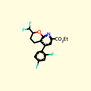 CCOC(=O)c1cc(-c2ccc(F)cc2F)c2c(n1)OC(C(F)F)CC2